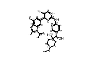 CCN1CCC(O)(C(O)c2ccc(Nc3ncc(F)c(-c4cc(F)c5nc(C)n(C(C)C)c5c4)n3)nc2)CC1